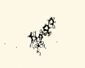 CC(C)(C)OC(=O)N1C[C@H](S(=O)(=O)c2ccc(-n3ccccc3=O)cc2C(F)(F)F)C[C@H]1C(=O)NC1(C#N)CC1